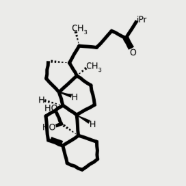 CC(C)C(=O)CC[C@@H](C)[C@H]1CC[C@H]2[C@@H]3CC=C4CCCC[C@]4(C(O)O)[C@H]3CC[C@]12C